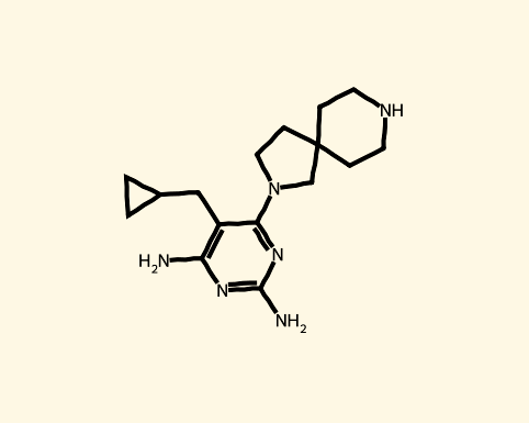 Nc1nc(N)c(CC2CC2)c(N2CCC3(CCNCC3)C2)n1